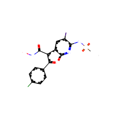 CS(=O)(=O)Nc1nc2oc(-c3ccc(F)cc3)c(C(=O)NO)c2cc1I